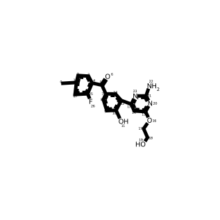 Cc1ccc(C(=O)c2ccc(O)c(-c3cc(OCCO)nc(N)n3)c2)c(F)c1